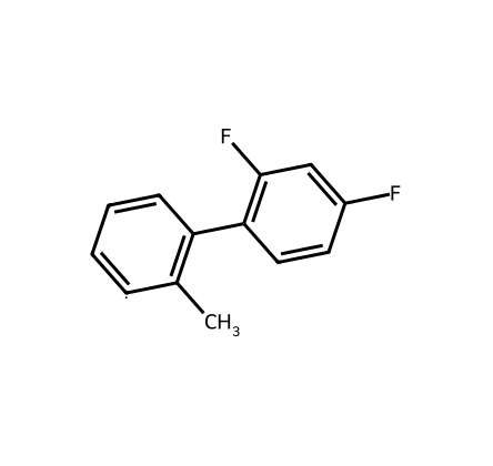 Cc1[c]cccc1-c1ccc(F)cc1F